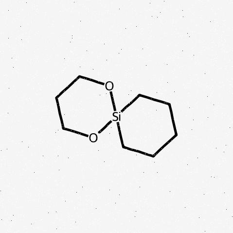 C1CC[Si]2(CC1)OCCCO2